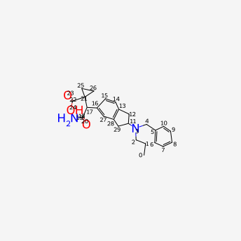 CCCN(Cc1ccccc1)C1Cc2ccc(C(C(N)=O)C3(C(=O)O)CC3)cc2C1